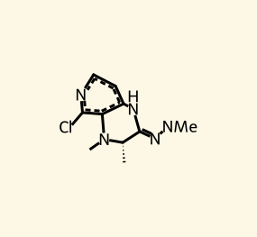 CN/N=C1\Nc2ccnc(Cl)c2N(C)[C@H]1C